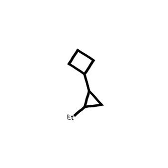 CCC1CC1C1CCC1